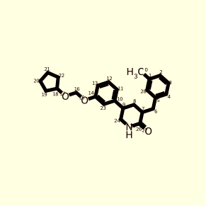 Cc1cccc(CC2CC(c3cccc(OCOC4CCCC4)c3)CNC2=O)c1